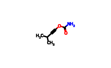 CC(C)C#COC(N)=O